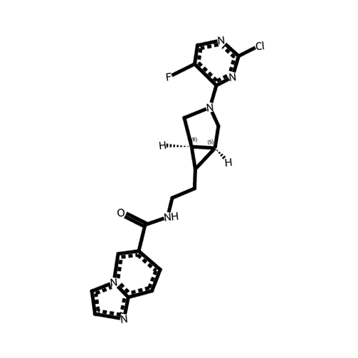 O=C(NCCC1[C@H]2CN(c3nc(Cl)ncc3F)C[C@@H]12)c1ccc2nccn2c1